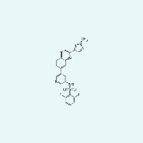 Cn1cc(-c2cnc3ccc(-c4cncc(NS(=O)(=O)c5c(F)cccc5F)c4)cc3n2)cn1